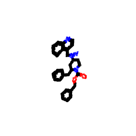 O=C(OCc1ccccc1)N1CCC(NCc2ccnc3ccccc23)CC1Cc1ccccc1